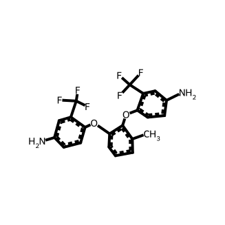 Cc1cccc(Oc2ccc(N)cc2C(F)(F)F)c1Oc1ccc(N)cc1C(F)(F)F